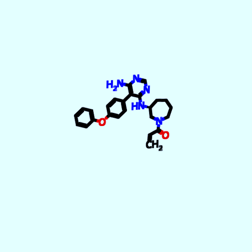 C=CC(=O)N1CCCC[C@H](Nc2ncnc(N)c2-c2ccc(Oc3ccccc3)cc2)C1